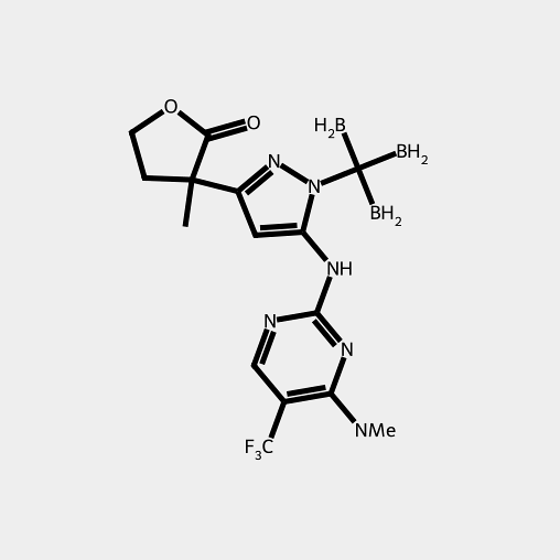 BC(B)(B)n1nc(C2(C)CCOC2=O)cc1Nc1ncc(C(F)(F)F)c(NC)n1